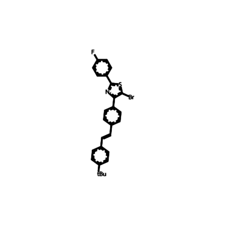 CC(C)(C)c1ccc(C=Cc2ccc(-c3nc(-c4ccc(F)cc4)sc3Br)cc2)cc1